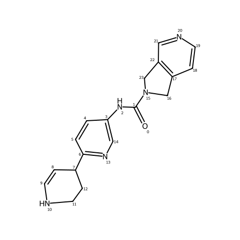 O=C(Nc1ccc(C2C=CNCC2)nc1)N1Cc2ccncc2C1